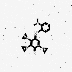 CN(C)c1ccccc1O.O=C1C=C(N2CC2)C(=O)C(N2CC2)=C1N1CC1